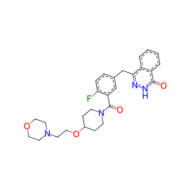 O=C(c1cc(Cc2n[nH]c(=O)c3ccccc23)ccc1F)N1CCC(OCCN2CCOCC2)CC1